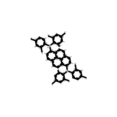 Cc1ccc(B(c2c(C)cc(C)cc2C)c2ccc3ccc4c(B(c5ccc(C)cc5C)c5c(C)cc(C)cc5C)ccc5ccc2c3c54)c(C)c1